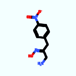 NCC(Cc1ccc([N+](=O)[O-])cc1)=NO